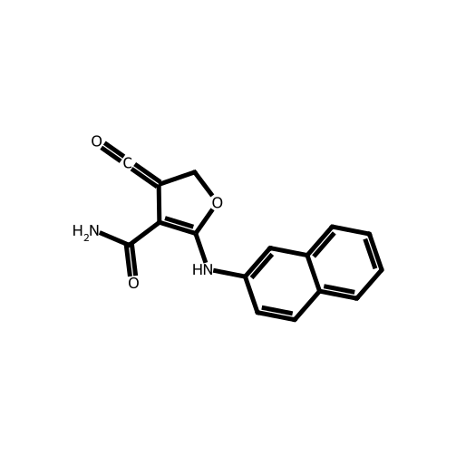 NC(=O)C1=C(Nc2ccc3ccccc3c2)OCC1=C=O